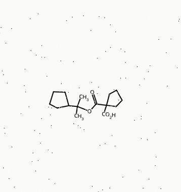 CC(C)(OC(=O)C1(C(=O)O)CCCC1)C1CCCC1